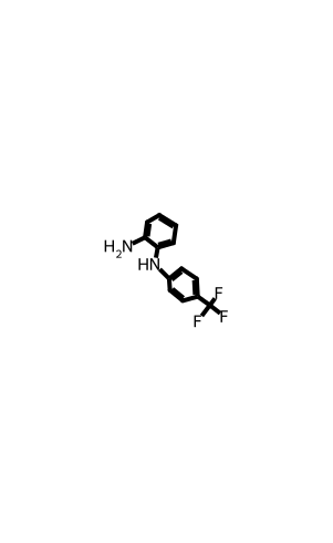 Nc1ccccc1Nc1ccc(C(F)(F)F)cc1